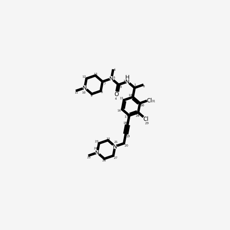 CC(NC(=O)N(C)C1CCN(C)CC1)c1ccc(C#CCN2CCN(C)CC2)c(Cl)c1Cl